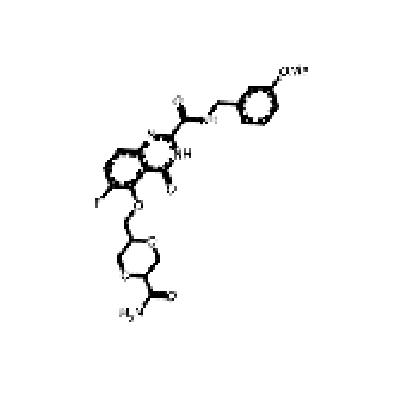 COc1cccc(CNC(=O)c2nc3ccc(F)c(OCC4COC(C(N)=O)CO4)c3c(=O)[nH]2)c1